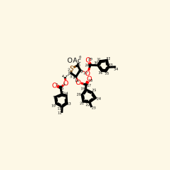 CC(=O)OC1S[C@@H](COC(=O)c2ccc(C)cc2)[C@H](OC(=O)c2ccc(C)cc2)[C@H]1OC(=O)c1ccc(C)cc1